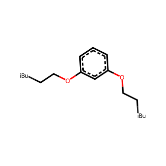 CCC(C)CCOc1cccc(OCCC(C)CC)c1